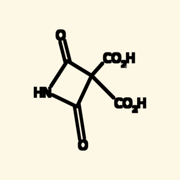 O=C(O)C1(C(=O)O)C(=O)NC1=O